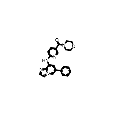 O=C(c1ccc(Nc2cc(-c3ccccc3)cn3ccnc23)nc1)N1CCOCC1